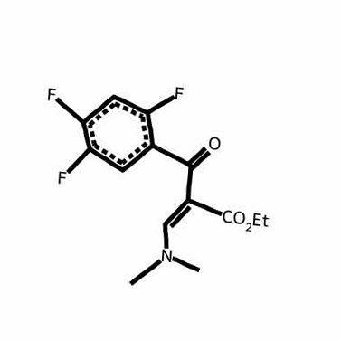 CCOC(=O)C(=CN(C)C)C(=O)c1cc(F)c(F)cc1F